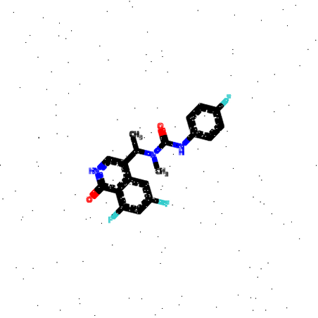 CC(c1c[nH]c(=O)c2c(F)cc(F)cc12)N(C)C(=O)Nc1ccc(F)cc1